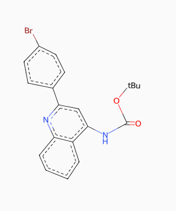 CC(C)(C)OC(=O)Nc1cc(-c2ccc(Br)cc2)nc2ccccc12